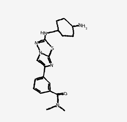 CN(C)C(=O)c1cccc(-c2cn3nc(NC4CCC(N)CC4)sc3n2)c1